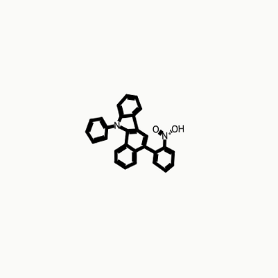 O=[N+](O)c1ccccc1-c1cc2c3ccccc3n(-c3ccccc3)c2c2ccccc12